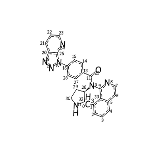 Cc1cccc2ccnc(N(C(=O)c3ccc(-n4nnc5cccnc54)cc3)[C@@H]3CCNC3)c12